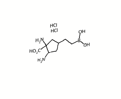 Cl.Cl.NC1CC(CCB(O)O)CC1(N)C(=O)O